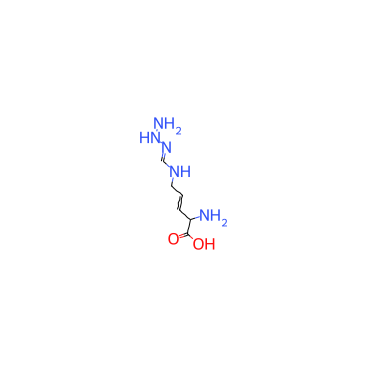 NNN=CNCC=CC(N)C(=O)O